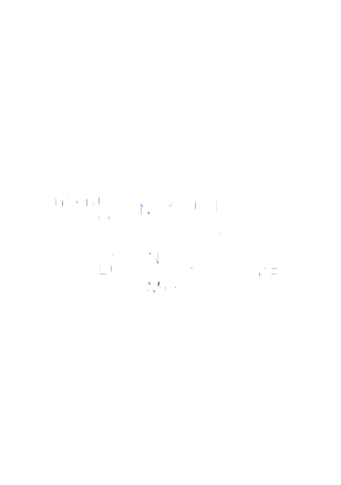 CCCCCOc1nc(CC)c(-c2c(OC)cc(C(F)(F)F)cc2C(F)(F)F)nc1CC